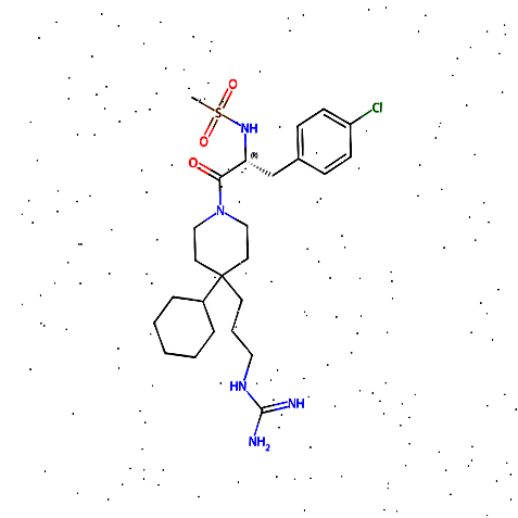 CS(=O)(=O)N[C@H](Cc1ccc(Cl)cc1)C(=O)N1CCC(CCCNC(=N)N)(C2CCCCC2)CC1